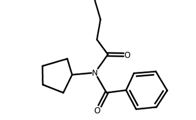 CCCC(=O)N(C(=O)c1ccccc1)C1CCCC1